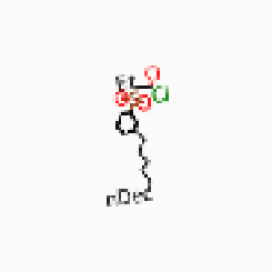 CCCCCCCCCCCCCCCc1cccc(S(=O)(=O)C(CC)C(=O)Cl)c1